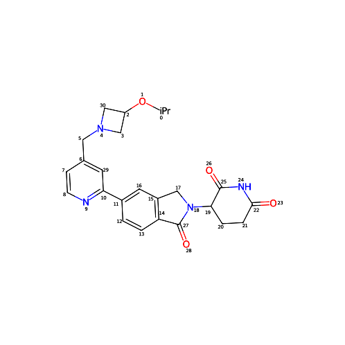 CC(C)OC1CN(Cc2ccnc(-c3ccc4c(c3)CN(C3CCC(=O)NC3=O)C4=O)c2)C1